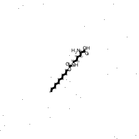 CCCCCCCCCCOC(=O)NCCCC[C@H](N)C(=O)O